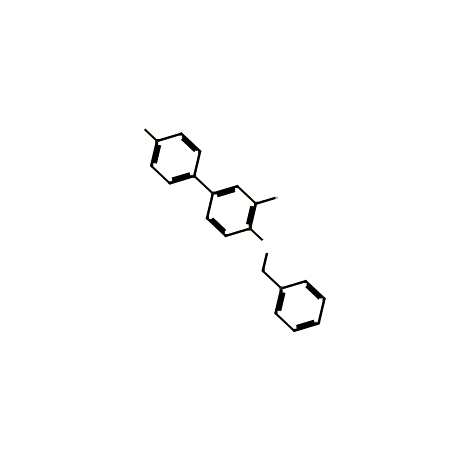 Oc1ccc(-c2ccc(OCc3ccccc3)c(F)c2)cc1